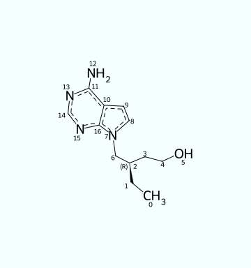 CC[C@H](CCO)Cn1ccc2c(N)ncnc21